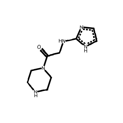 O=C(CNc1ncc[nH]1)N1CCNCC1